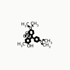 CCN(CC)c1ccc(C(=C2C=CC(=[N+](CC)CC)C=C2)c2cc(O)c(C)cc2S(=O)(=O)[O-])cc1